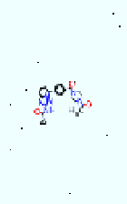 CC(=O)N1CCN(C(=O)c2ccc(-c3cccc4nc(NC(=O)C5CC5)nn34)cc2)CC1